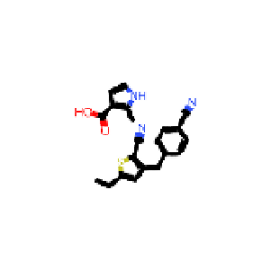 CCc1cc(Cc2ccc(C#N)cc2)c(C#N)s1.Cc1[nH]ccc1C(=O)O